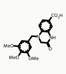 COc1cc(CN2CC(=O)Nc3cc(C(=O)O)ccc32)cc(OC)c1OC